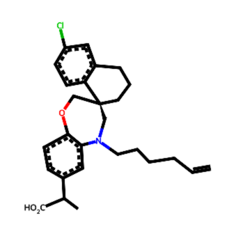 C=CCCCCN1C[C@@]2(CCCc3cc(Cl)ccc32)COc2ccc(C(C)C(=O)O)cc21